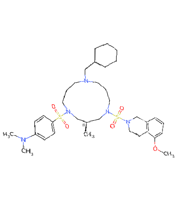 COc1cccc2c1CCN(S(=O)(=O)N1CCCN(CC3CCCCC3)CCCN(S(=O)(=O)c3ccc(N(C)C)cc3)C[C@H](C)C1)C2